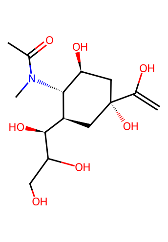 C=C(O)[C@@]1(O)C[C@@H]([C@H](O)C(O)CO)[C@H](N(C)C(C)=O)[C@@H](O)C1